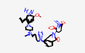 CCc1cc(N)c(OC)cc1N1CCC(N(C)CCCNc2cccc3c2CN(C2CCC(=O)NC2=O)C3=O)CC1